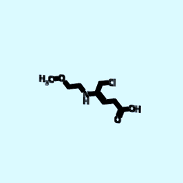 COCCNC(=CCC(=O)O)CCl